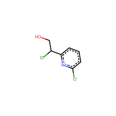 OCC(Cl)c1cccc(Cl)n1